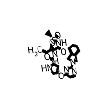 C=CC1CC1(NC(=O)[C@@H]1C[C@@H](Oc2ccnc(N3Cc4ccccc4C3)n2)CN1)C(=O)NS(=O)(=O)C1CC1